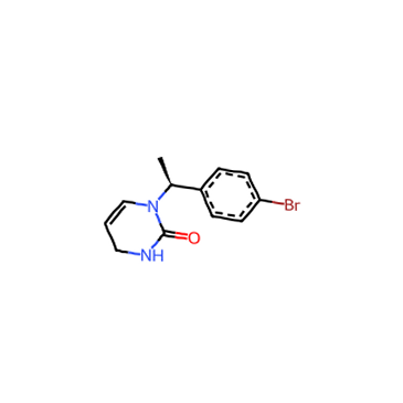 C[C@@H](c1ccc(Br)cc1)N1C=CCNC1=O